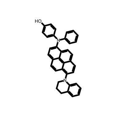 Oc1ccc(N(c2ccccc2)c2ccc3ccc4c(N5CCCc6ccccc65)ccc5ccc2c3c54)cc1